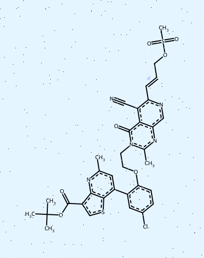 Cc1cc(-c2cc(Cl)ccc2OCCn2c(C)nc3cnc(/C=C/COS(C)(=O)=O)c(C#N)c3c2=O)c2scc(C(=O)OC(C)(C)C)c2n1